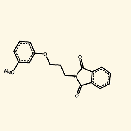 COc1cccc(OCCCN2C(=O)c3ccccc3C2=O)c1